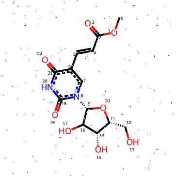 COC(=O)/C=C/c1cn([C@@H]2O[C@H](CO)[C@H](O)C2O)c(=O)[nH]c1=O